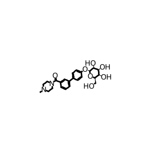 CN1CCN(C(=O)c2cccc(-c3ccc(O[C@H]4O[C@H](CO)[C@@H](O)[C@@H](O)[C@H]4O)cc3)c2)CC1